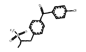 CC(Cc1ccc(C(=O)c2ccc(Cl)cc2)cc1)S(=O)(=O)C(F)(F)F